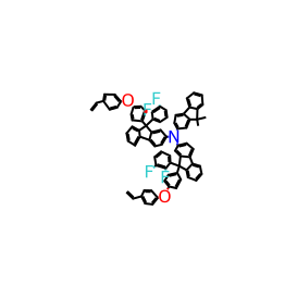 C=Cc1ccc(Oc2ccc(C3(c4cccc(F)c4F)c4ccccc4-c4ccc(N(c5ccc6c(c5)C(C)(C)c5ccccc5-6)c5ccc6c(c5)C(c5ccc(Oc7ccc(C=C)cc7)cc5)(c5cccc(F)c5F)c5ccccc5-6)cc43)cc2)cc1